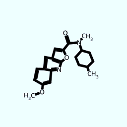 COc1ccc2cc3cc(C(=O)N(C)C4CCC(C)CC4)oc3nc2c1